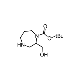 CC(C)(C)OC(=O)N1CCCNCC1CO